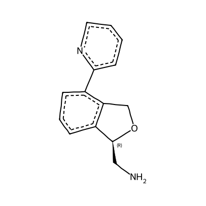 NC[C@@H]1OCc2c(-c3ccccn3)cccc21